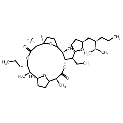 CCC[C@H](C[C@@H]1CC[C@H]([C@@H](CC)[C@@H]2OC(=O)[C@@H](C)[C@H]3CC[C@H](O3)[C@@H](C)[C@H](CCC)OC(=O)[C@H](C)[C@H]3CC[C@H](O3)[C@H]2C)O1)N(C)C